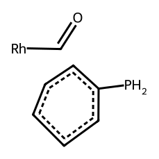 O=[CH][Rh].Pc1ccccc1